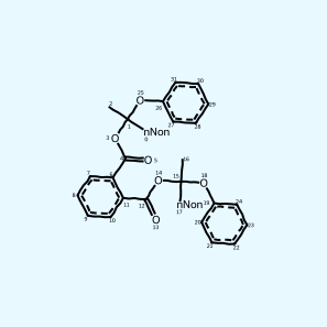 CCCCCCCCCC(C)(OC(=O)c1ccccc1C(=O)OC(C)(CCCCCCCCC)Oc1ccccc1)Oc1ccccc1